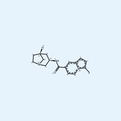 Cc1ccc2cc(C(=O)N[C@@H]3C[C@H]4CCN(C4)C3)ccn12